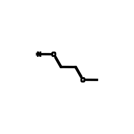 COCCO[N]